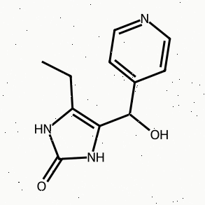 CCc1[nH]c(=O)[nH]c1C(O)c1ccncc1